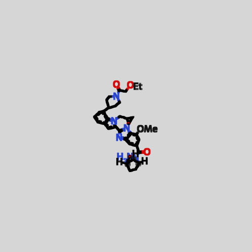 CCOCC(=O)N1CCC(c2cccc3cc(-c4nc5cc(C(=O)N6C[C@H]7CC[C@@H]6[C@@H]7N)cc(OC)c5n4C)n(CC4CC4)c23)CC1